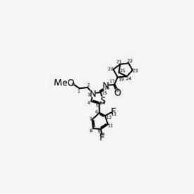 COCCn1cc(-c2ccc(F)cc2F)sc1=NC(=O)C1CC2CCC1C2